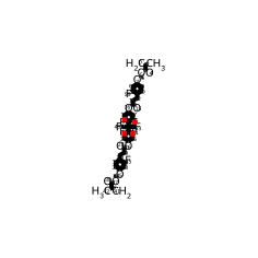 C=C(C)C(=O)OCOc1ccc(CCC(=O)Oc2ccc(C(c3ccc(OC(=O)CCc4ccc(OCOC(=O)C(=C)C)cc4F)cc3)(C(F)(F)F)C(F)(F)F)cc2)c(F)c1